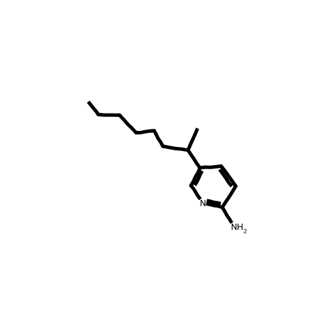 CCCCCCC(C)c1ccc(N)nc1